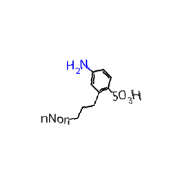 CCCCCCCCCCCCc1cc(N)ccc1S(=O)(=O)O